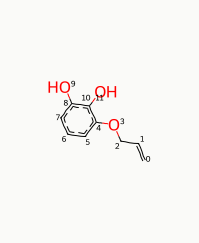 C=CCOc1cccc(O)c1O